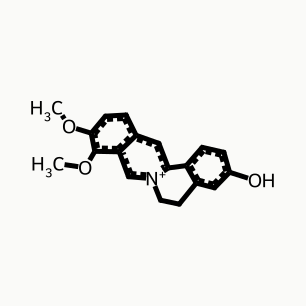 COc1ccc2cc3[n+](cc2c1OC)CCc1cc(O)ccc1-3